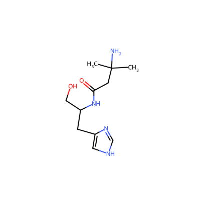 CC(C)(N)CC(=O)NC(CO)Cc1c[nH]cn1